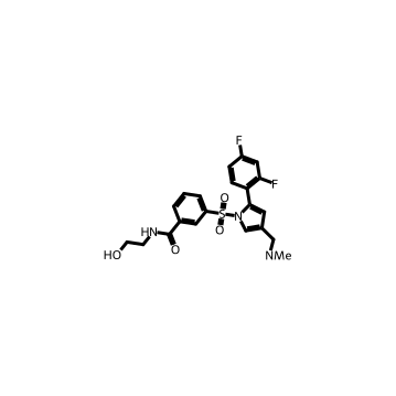 CNCc1cc(-c2ccc(F)cc2F)n(S(=O)(=O)c2cccc(C(=O)NCCO)c2)c1